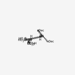 CCCCCCCCCCCCCCCCCCN(CCCCCCCCCCCCCCCCCC)CC(=O)NCCCCCCCCCCNC(=O)CN(CCN(CC(=O)O)CC(=O)O)CCN(CC(=O)O)CC(=O)O